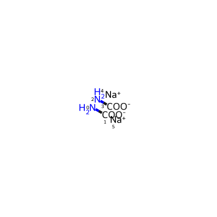 NC(=O)[O-].NC(=O)[O-].[Na+].[Na+]